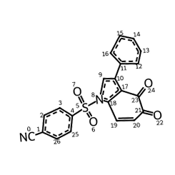 N#Cc1ccc(S(=O)(=O)n2cc(-c3ccccc3)c3c2C=CC(=O)C3=O)cc1